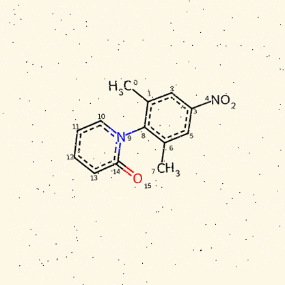 Cc1cc([N+](=O)[O-])cc(C)c1-n1ccc[c]c1=O